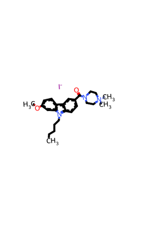 CCCCCn1c2ccc(C(=O)N3CC[N+](C)(C)CC3)cc2c2ccc(OC)cc21.[I-]